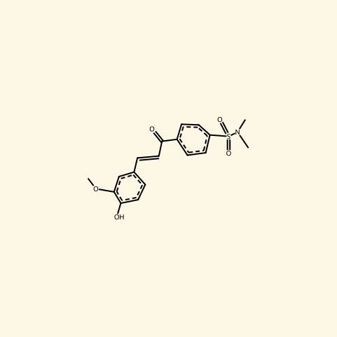 COc1cc(/C=C/C(=O)c2ccc(S(=O)(=O)N(C)C)cc2)ccc1O